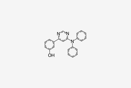 Oc1cccc(-c2cc(N(c3ccccc3)c3ccccc3)ncn2)c1